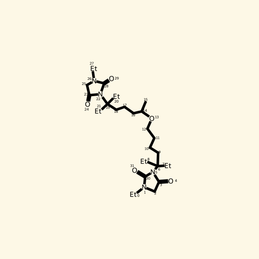 CCN1CC(=O)N(C(CC)(CC)CCCCOC(C)CCCC(CC)(CC)N2C(=O)CN(CC)C2=O)C1=O